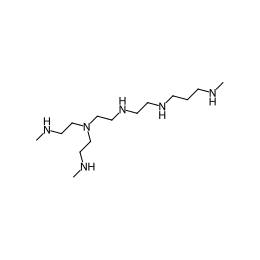 CNCCCNCCNCCN(CCNC)CCNC